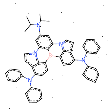 CC(C)N(c1cc2c3c(c1)-n1ccc4c(N(c5ccccc5)c5ccccc5)ccc(c41)B3c1ccc(N(c3ccccc3)c3ccccc3)c3ccn-2c13)C(C)C